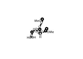 CCC(COC1CNCC(OCc2cc(OC)c3ccccc3c2)C1c1ccc(OCCCOCc2ccccc2OC)cc1)OC(=O)c1cccc(CON(O)O)c1